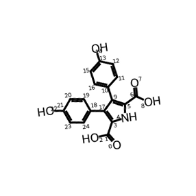 O=C(O)c1[nH]c(C(=O)O)c(-c2ccc(O)cc2)c1-c1ccc(O)cc1